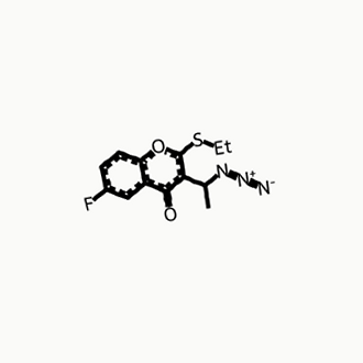 CCSc1oc2ccc(F)cc2c(=O)c1C(C)N=[N+]=[N-]